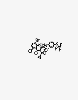 O=C(c1c([S+]([O-])Cc2ccc(SC(F)(F)F)cc2)[nH]c2c(Br)ccc(Cl)c2c1=O)C1CC1